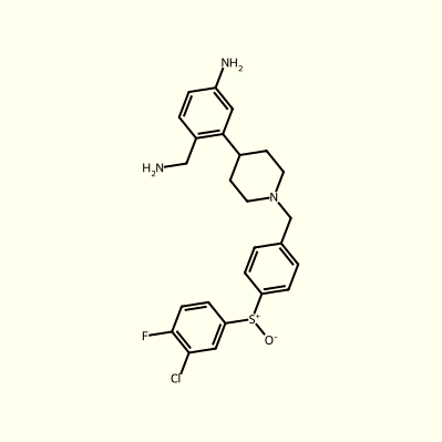 NCc1ccc(N)cc1C1CCN(Cc2ccc([S+]([O-])c3ccc(F)c(Cl)c3)cc2)CC1